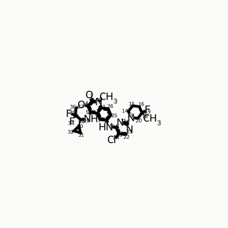 Cn1c(=O)c2c(c3cc(Nc4nc(N5CCC[C@@](C)(F)C5)ncc4Cl)ccc31)N[C@@H](C1CC1)C(F)(F)CO2